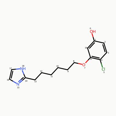 Oc1ccc(Cl)c(OCCCCCCc2ncc[nH]2)c1